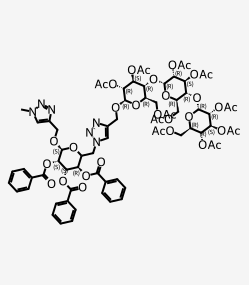 CC(=O)OC[C@H]1O[C@H](O[C@H]2[C@H](OC(C)=O)[C@@H](OC(C)=O)[C@@H](O[C@H]3[C@H](OC(C)=O)[C@@H](OC(C)=O)[C@H](OCc4cn(CC5O[C@H](OCc6cn(C)nn6)[C@@H](OC(=O)c6ccccc6)[C@@H](OC(=O)c6ccccc6)[C@@H]5OC(=O)c5ccccc5)nn4)O[C@@H]3COC(C)=O)O[C@@H]2COC(C)=O)[C@H](OC(C)=O)[C@@H](OC(C)=O)[C@@H]1OC(C)=O